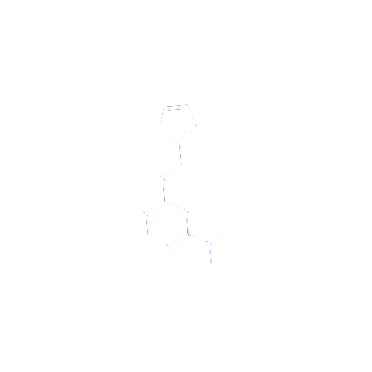 C/N=C(/NCc1ccco1)NC(=N)N(C)C